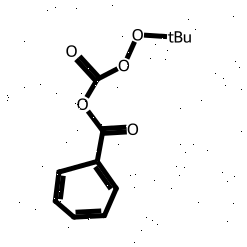 CC(C)(C)OOC(=O)OC(=O)c1ccccc1